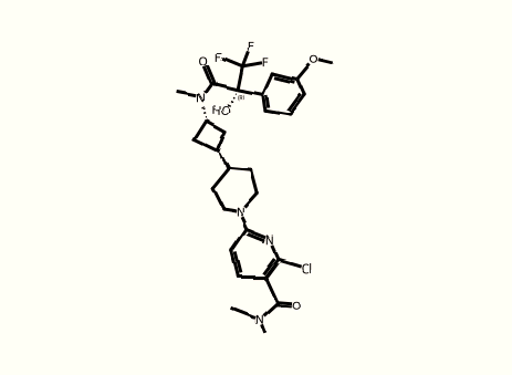 COc1cccc([C@@](O)(C(=O)N(C)[C@H]2C[C@H](C3CCN(c4ccc(C(=O)N(C)C)c(Cl)n4)CC3)C2)C(F)(F)F)c1